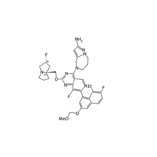 CCc1c(F)ccc2cc(OCOC)cc(-c3ncc4c(N5CCCn6nc(N)cc6C5)nc(OC[C@@]56CCCN5C[C@H](F)C6)nc4c3F)c12